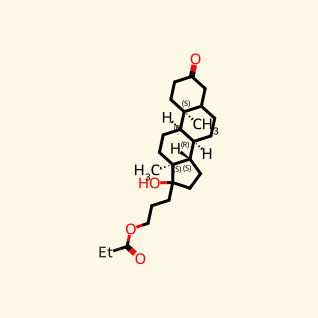 CCC(=O)OCCCC1(O)CC[C@H]2[C@@H]3CCC4CC(=O)CC[C@]4(C)[C@@H]3CC[C@@]21C